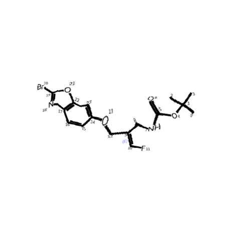 CC(C)(C)OC(=O)NC/C(=C\F)COc1ccc2nc(Br)oc2c1